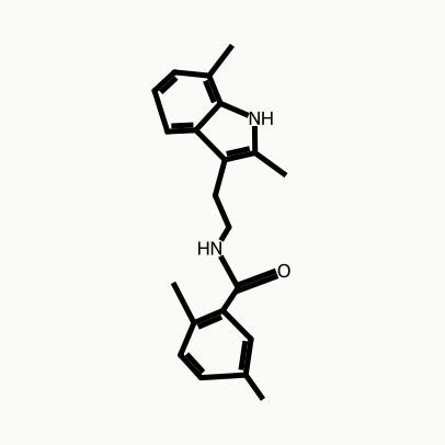 Cc1ccc(C)c(C(=O)NCCc2c(C)[nH]c3c(C)cccc23)c1